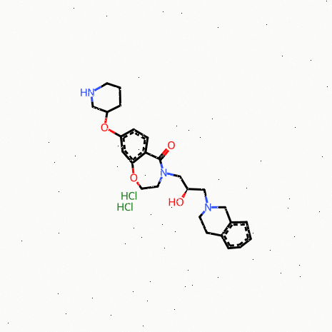 Cl.Cl.O=C1c2ccc(OC3CCCNC3)cc2OCCN1C[C@H](O)CN1CCc2ccccc2C1